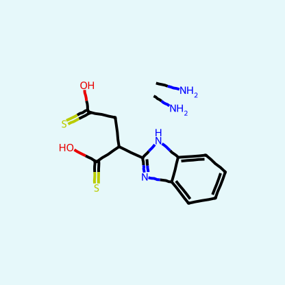 CN.CN.OC(=S)CC(C(O)=S)c1nc2ccccc2[nH]1